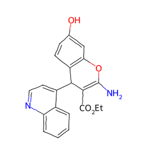 CCOC(=O)C1=C(N)Oc2cc(O)ccc2C1c1ccnc2ccccc12